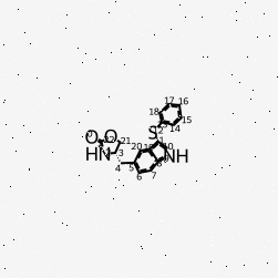 O=C1N[C@@H](Cc2ccc3[nH]cc(Sc4ccccc4)c3c2)CO1